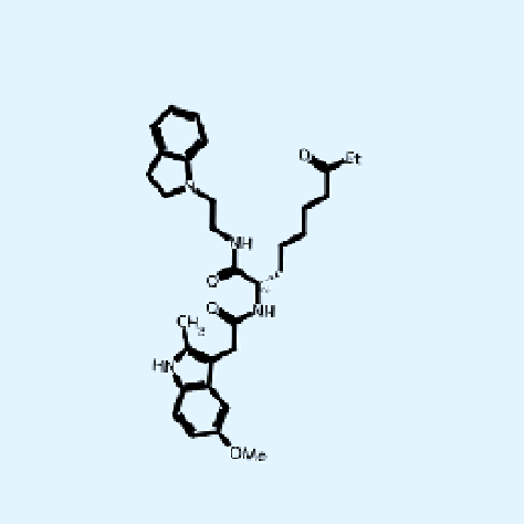 CCC(=O)CCCCC[C@H](NC(=O)Cc1c(C)[nH]c2ccc(OC)cc12)C(=O)NCCN1CCc2ccccc21